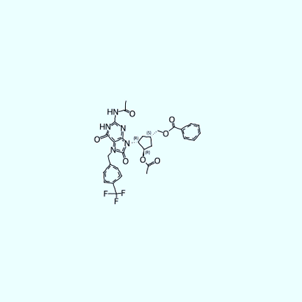 CC(=O)Nc1nc2c(c(=O)[nH]1)n(Cc1ccc(C(F)(F)F)cc1)c(=O)n2[C@@H]1C[C@H](COC(=O)c2ccccc2)C[C@H]1OC(C)=O